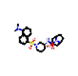 CN(C)c1cccc2c(S(=O)(=O)N3CCC[C@H](NC(=O)N4C5CCC4CC(O)C5)C3)cccc12